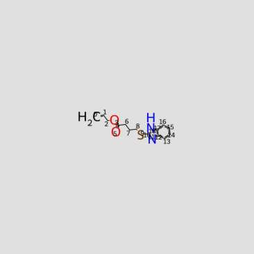 C=CCOC(=O)CCCSc1nc2ccccc2[nH]1